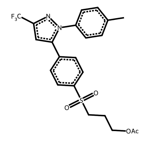 CC(=O)OCCCS(=O)(=O)c1ccc(-c2cc(C(F)(F)F)nn2-c2ccc(C)cc2)cc1